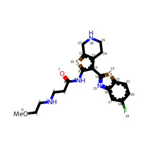 COCCNCCC(=O)Nc1sc2c(c1-c1nc3cc(F)ccc3s1)CCNC2